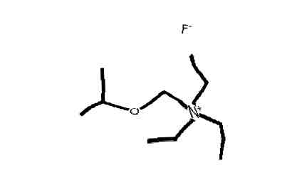 CC[N+](CC)(CC)COC(C)C.[F-]